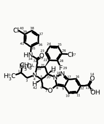 CC(C)CN1[C@H]2COc3c4ccc(C(=O)O)cc4nn3[C@H]2[C@H](c2cccc(Cl)c2F)[C@]1(C)C(=O)Nc1cccc(Cl)c1